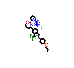 CCCOc1ccc(CCc2ccc(C3=CCCOC([C@@H]4CCCN4C(=N)N)=N3)cc2C(F)(F)F)cc1